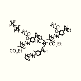 CCN(CC[N+](C)(C)CC(C)O)c1ccc(N=Nc2scc[n+]2C)c(C)c1.CCOC(=O)c1sc(N=Nc2ccc(N(CC)CC)cc2OC(=O)C[N+](C)(C)C)[n+](C)c1C.CCOC(=O)c1sc(N=Nc2ccc(N(CC)CC)cc2OC(=O)C[N+](C)(C)C)[n+](C)c1C.F[B-](F)(F)F.F[B-](F)(F)F